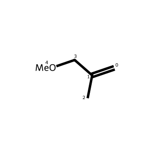 C=C(C)COC